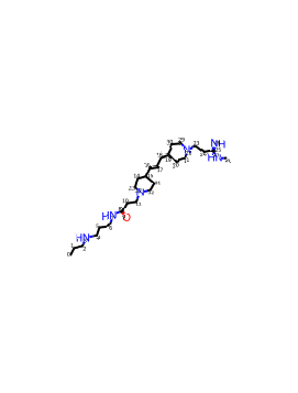 CCCNCCCNC(=O)CCN1CCC(CCCC2CCN(CCC(=N)NC)CC2)CC1